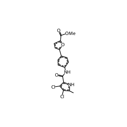 COC(=O)c1ccc(-c2ccc(NC(=O)c3[nH]c(C)c(Cl)c3Cl)cc2)o1